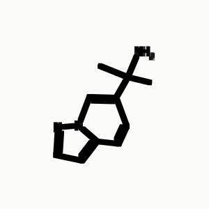 CC(C)(N)c1ccc2ccnn2c1